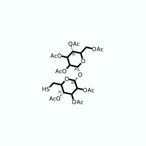 CC(=O)OCC1O[C@H](O[C@H]2OC(CS)[C@@H](OC(C)=O)C(OC(C)=O)C2OC(C)=O)C(OC(C)=O)C(OC(C)=O)[C@@H]1OC(C)=O